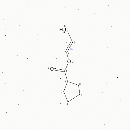 C/C=C/OC(=O)C1CCCC1